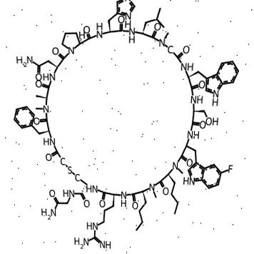 CCCC[C@H]1C(=O)N(C)[C@@H](CCCC)C(=O)N[C@@H](CCCNC(=N)N)C(=O)N[C@H](C(=O)NCC(N)=O)CSCC(=O)N[C@@H](Cc2ccccc2)C(=O)N(C)[C@@H](C)C(=O)N[C@@H](CC(N)=O)C(=O)N2CCC[C@H]2C(=O)N[C@@H](Cc2cnc[nH]2)C(=O)N[C@@H](CC(C)C)C(=O)N(C)CC(=O)N[C@@H](Cc2c[nH]c3ccccc23)C(=O)N[C@@H](CO)C(=O)NC(Cc2c[nH]c3ccc(F)cc23)C(=O)N1C